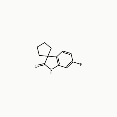 O=C1Nc2cc(F)ccc2C12CCCC2